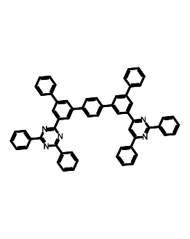 c1ccc(-c2cc(-c3ccc(-c4cc(-c5ccccc5)cc(-c5nc(-c6ccccc6)nc(-c6ccccc6)n5)c4)cc3)cc(-c3cc(-c4ccccc4)nc(-c4ccccc4)n3)c2)cc1